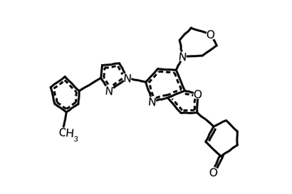 Cc1cccc(-c2ccn(-c3cc(N4CCOCC4)c4oc(C5=CC(=O)CCC5)cc4n3)n2)c1